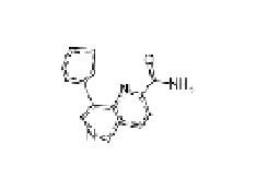 NC(=O)c1ccc2cncc(-c3ccccc3)c2n1